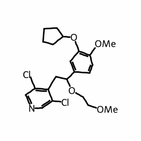 COCCOC(Cc1c(Cl)cncc1Cl)c1ccc(OC)c(OC2CCCC2)c1